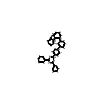 c1ccc(-c2nc(-c3ccccc3)nc(-c3ccc(-c4cccc(-c5cccc6oc7ccccc7c56)c4)cc3)n2)cc1